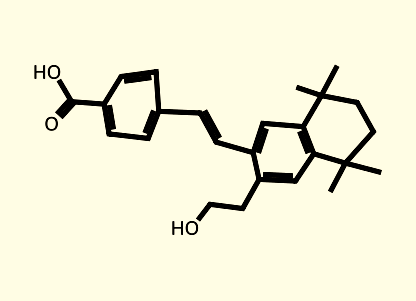 CC1(C)CCC(C)(C)c2cc(CCO)c(C=Cc3ccc(C(=O)O)cc3)cc21